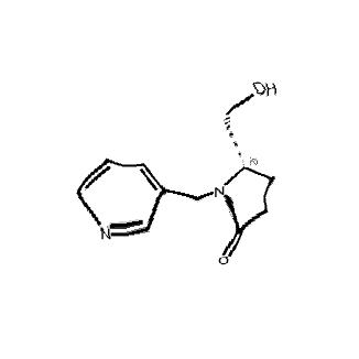 O=C1CC[C@@H](CO)N1c1cccnc1